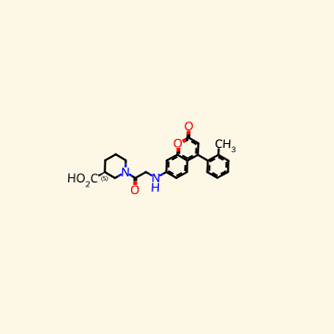 Cc1ccccc1-c1cc(=O)oc2cc(NCC(=O)N3CCC[C@H](C(=O)O)C3)ccc12